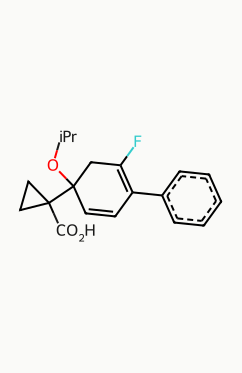 CC(C)OC1(C2(C(=O)O)CC2)C=CC(c2ccccc2)=C(F)C1